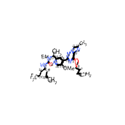 C=CCCOc1nc(-c2cc([C@@H](C)N(CC)C(=O)N[C@H](CC=C)CCC(F)(F)F)ncc2OC)nn2cc(C)nc12